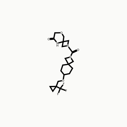 O=C1COCC2(CN(C(=O)N3CC4(CCC(OCC5(C(F)(F)F)CC5)CC4)C3)C2)N1